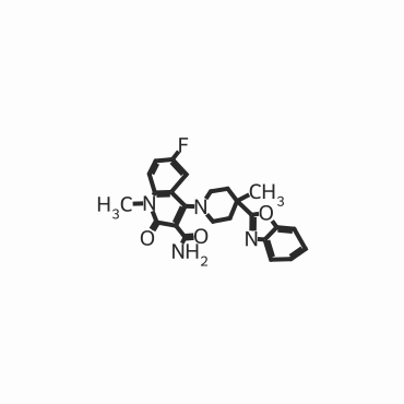 Cn1c(=O)c(C(N)=O)c(N2CCC(C)(c3nc4ccccc4o3)CC2)c2cc(F)ccc21